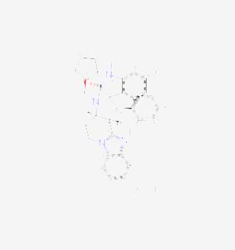 O=C(O)c1ccc2c(c1)nc1n2CC[C@H]2[C@@H]1[C@H](c1cccc(Cl)c1F)[C@]1(C(=O)Nc3cc(Cl)ccc31)N2CC1CCCC1